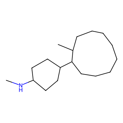 CNC1CCC(C2CCCCCCCCC2C)CC1